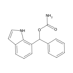 NC(=O)OC(c1ccccc1)c1cccc2cc[nH]c12